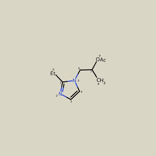 CCc1nccn1CC(C)OC(C)=O